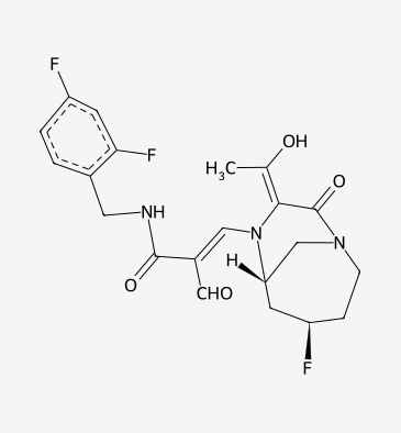 C/C(O)=C1/C(=O)N2CC[C@@H](F)C[C@@H](C2)N1/C=C(\C=O)C(=O)NCc1ccc(F)cc1F